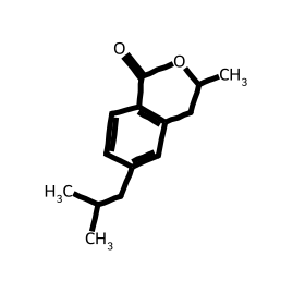 CC(C)Cc1ccc2c(c1)CC(C)OC2=O